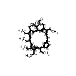 CCC1=C(CC)c2nc1c(CC)c1[nH]c(c(CC)c3nc(cc4[nH]c(c(CC)c4CC)c2C(=O)NC=O)C=C3)c(CC)c1CC